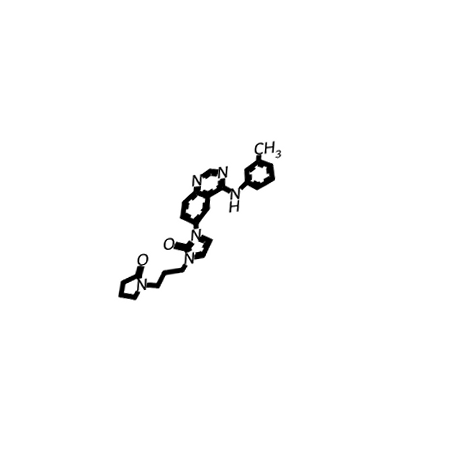 Cc1cccc(Nc2ncnc3ccc(-n4ccn(CCCN5CCCC5=O)c4=O)cc23)c1